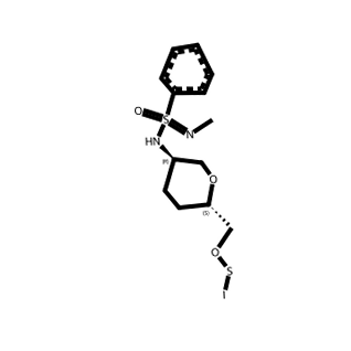 CN=S(=O)(N[C@@H]1CC[C@@H](COSI)OC1)c1ccccc1